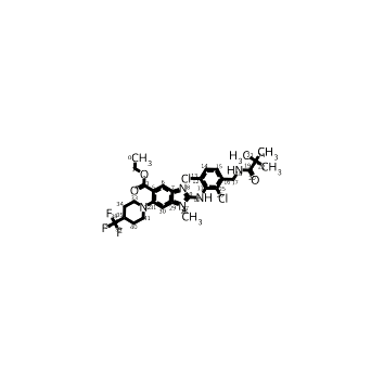 CCOC(=O)c1cc2nc(Nc3c(Cl)ccc(CNC(=O)C(C)(C)C)c3Cl)n(C)c2cc1N1CCC(C(F)(F)F)CC1